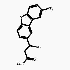 COC(=O)CC(N)c1ccc2sc3ccc(C(F)(F)F)cc3c2c1